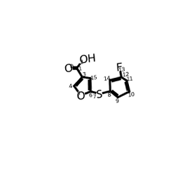 O=C(O)c1coc(Sc2cccc(F)c2)c1